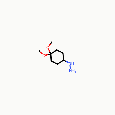 COC1(OC)CCC(NN)CC1